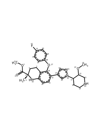 COC(=O)[C@]1(C)CCc2c(ccc(-c3cnn(C4CCNCC4OC)c3)c2Oc2ccc(F)cc2)N1